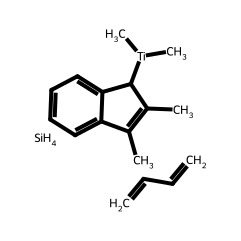 C=CC=C.CC1=C(C)[CH]([Ti]([CH3])[CH3])c2ccccc21.[SiH4]